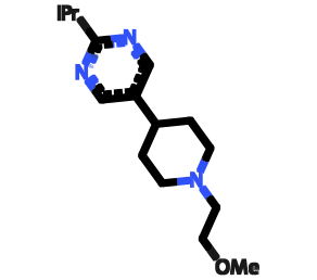 COCCN1CCC(c2cnc(C(C)C)nc2)CC1